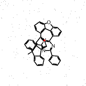 CC1(C)c2ccccc2-c2ccc(-c3cccc4oc5cccc(-c6nc(-c7ccccc7)nc(-c7ccccc7)n6)c5c34)cc21